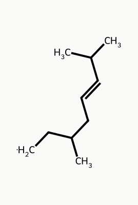 [CH2]CC(C)C/C=C/C(C)C